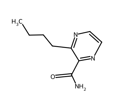 CCCCc1nccnc1C(N)=O